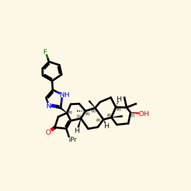 CC(C)C1=C2[C@H]3CC[C@@H]4[C@@]5(C)CC[C@H](O)C(C)(C)[C@@H]5CC[C@@]4(C)[C@]3(C)CC[C@@]2(c2ncc(-c3ccc(F)cc3)[nH]2)CC1=O